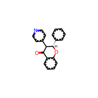 O=C1c2ccccc2O[C@@H](c2ccccc2)C1c1ccncc1